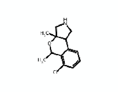 CC1OC2(C)CNCC2c2cccc(Cl)c21